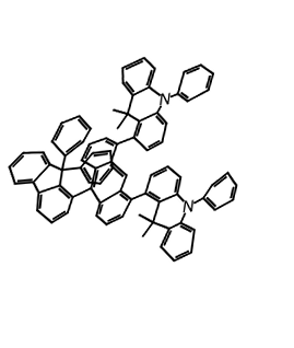 CC1(C)c2ccccc2N(c2ccccc2)c2cccc(-c3cccc4c(-c5cccc6c5C(c5ccccc5)(c5ccccc5)c5ccccc5-6)c5cccc(-c6cccc7c6C(C)(C)c6ccccc6N7c6ccccc6)c5cc34)c21